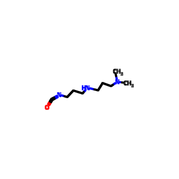 CN(C)CCCNCCCN=C=O